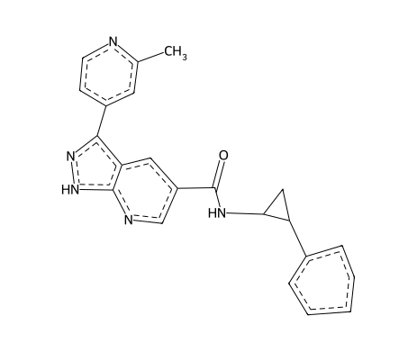 Cc1cc(-c2n[nH]c3ncc(C(=O)NC4CC4c4ccccc4)cc23)ccn1